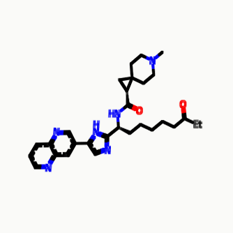 CCC(=O)CCCCC[C@H](NC(=O)[C@H]1CC12CCN(C)CC2)c1ncc(-c2cnc3cccnc3c2)[nH]1